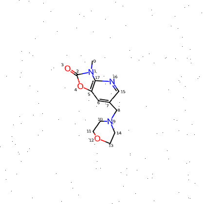 Cn1c(=O)oc2cc(CN3CCOCC3)cnc21